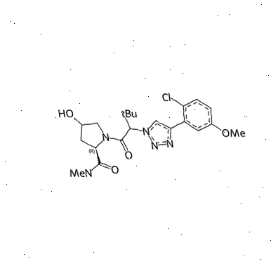 CNC(=O)[C@H]1CC(O)CN1C(=O)C(n1cc(-c2cc(OC)ccc2Cl)nn1)C(C)(C)C